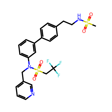 CS(=O)(=O)NCCc1ccc(-c2cccc(N(Cc3cccnc3)S(=O)(=O)CC(F)(F)F)c2)cc1